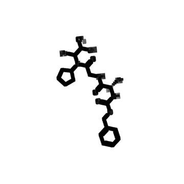 CC(C)C(C(O)C(F)(F)F)N(C(=O)CNC(=O)[C@@H](NC(=O)OCc1ccccc1)C(C)C)C1CCCC1